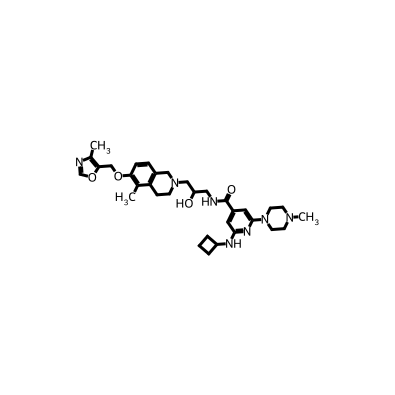 Cc1ncoc1COc1ccc2c(c1C)CCN(CC(O)CNC(=O)c1cc(NC3CCC3)nc(N3CCN(C)CC3)c1)C2